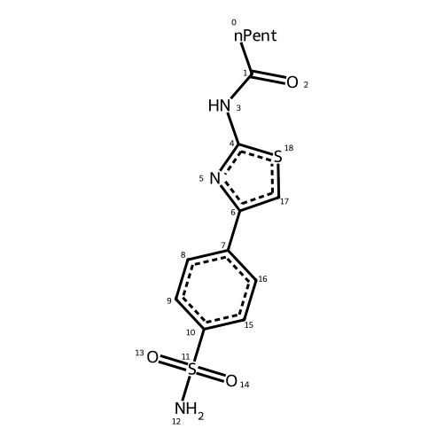 CCCCCC(=O)Nc1nc(-c2ccc(S(N)(=O)=O)cc2)cs1